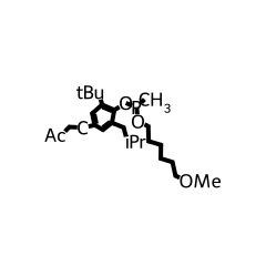 COCCCCCCOP(C)Oc1c(CC(C)C)cc(CCC(C)=O)cc1C(C)(C)C